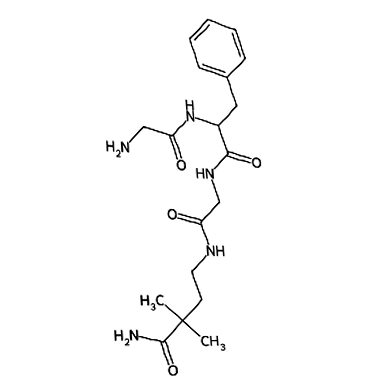 CC(C)(CCNC(=O)CNC(=O)C(Cc1ccccc1)NC(=O)CN)C(N)=O